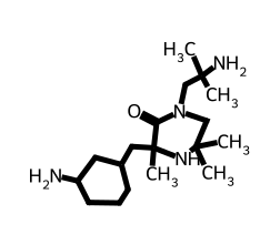 CC(C)(N)CN1CC(C)(C)NC(C)(CC2CCCC(N)C2)C1=O